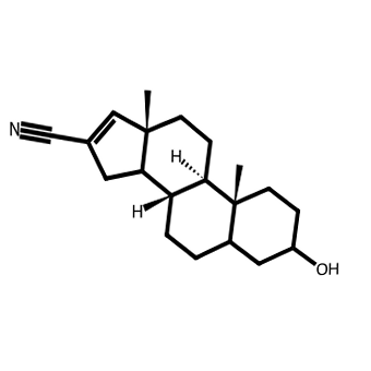 C[C@]12C=C(C#N)CC1[C@H]1CCC3CC(O)CC[C@@]3(C)[C@@H]1CC2